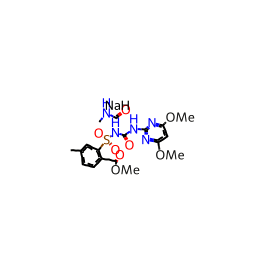 CNC=O.COC(=O)c1ccc(C)cc1S(=O)(=O)NC(=O)Nc1nc(OC)cc(OC)n1.[NaH]